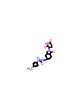 Cc1ccc(NC(=O)NCc2ccc3c(c2)CN(C2CCC(=O)NC2=O)C3=O)cc1